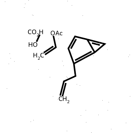 C=CCc1ccc2cc1-2.C=COC(C)=O.O=C(O)O